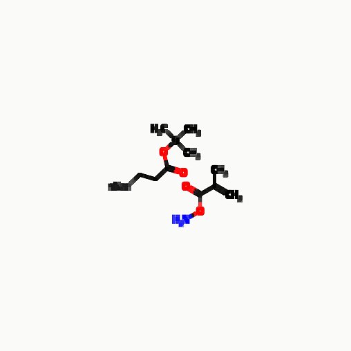 C=C(C)C(=O)ON.CCCCCCCCCCCC(=O)O[Si](C)(C)C